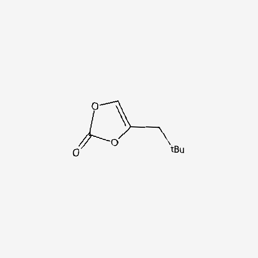 CC(C)(C)Cc1coc(=O)o1